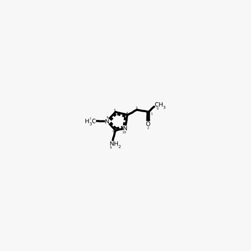 CC(=O)Cc1cn(C)c(N)n1